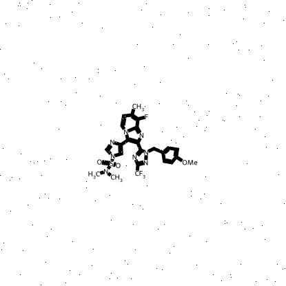 COc1ccc(Cn2nc(C(F)(F)F)nc2-c2nc3c(F)c(C)ccn3c2-c2cn(S(=O)(=O)N(C)C)cn2)cc1